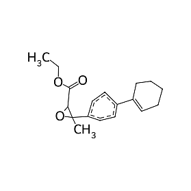 CCOC(=O)C1OC1(C)c1ccc(C2=CCCCC2)cc1